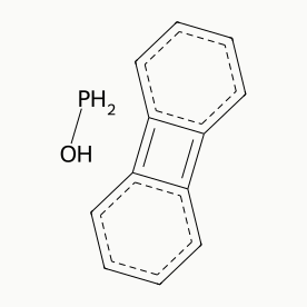 OP.c1ccc2c(c1)=c1ccccc1=2